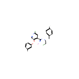 Cc1ccc(C[C@H](CCl)NC(=NO)c2cc(Cl)ncc2Oc2cccc(C(F)(F)F)c2)cc1